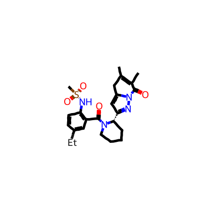 CCc1ccc(NS(C)(=O)=O)c(C(=O)N2CCCC[C@H]2c2cc3n(n2)C(=O)C(C)=C(C)C3)c1